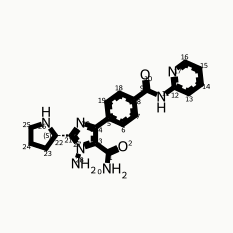 NC(=O)c1c(-c2ccc(C(=O)Nc3ccccn3)cc2)nc([C@@H]2CCCN2)n1N